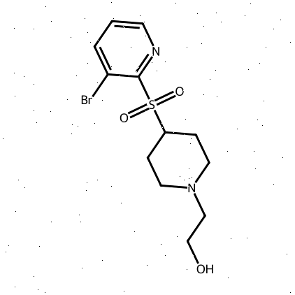 O=S(=O)(c1ncccc1Br)C1CCN(CCO)CC1